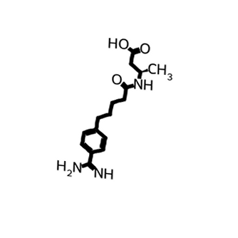 C[C@H](CC(=O)O)NC(=O)CCCCc1ccc(C(=N)N)cc1